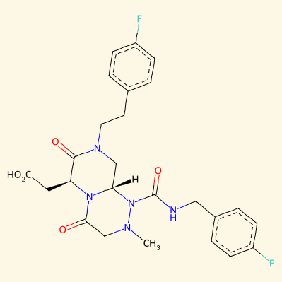 CN1CC(=O)N2[C@@H](CC(=O)O)C(=O)N(CCc3ccc(F)cc3)C[C@@H]2N1C(=O)NCc1ccc(F)cc1